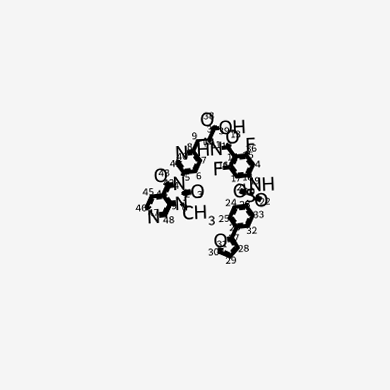 Cn1c(=O)n(-c2ccc(C[C@H](NC(=O)c3c(F)cc(NS(=O)(=O)c4ccc(-c5ccco5)cc4)cc3F)C(=O)O)nc2)c(=O)c2ccncc21